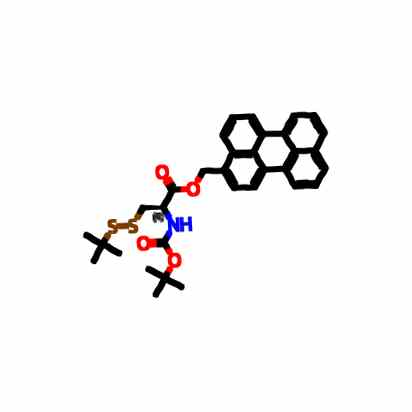 CC(C)(C)OC(=O)N[C@@H](CSSC(C)(C)C)C(=O)OCc1ccc2c3cccc4cccc(c5cccc1c52)c43